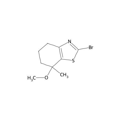 COC1(C)CCCc2nc(Br)sc21